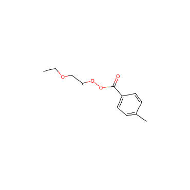 CCOC[CH]OOC(=O)c1ccc(C)cc1